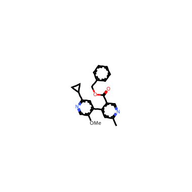 COc1cnc(C2CC2)cc1-c1cc(C)ncc1C(=O)OCc1ccccc1